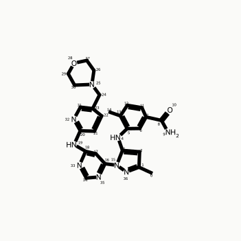 Cc1cc(Nc2cc(C(N)=O)ccc2C)n(-c2cc(Nc3ccc(CN4CCOCC4)cn3)ncn2)n1